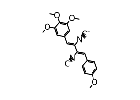 [C-]#[N+]C(=C\c1ccc(OC)cc1)/C(=C/c1cc(OC)c(OC)c(OC)c1)[N+]#[C-]